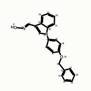 ON=Cc1cn(-c2ccc(OCc3ccccc3)cc2)c2ccccc12